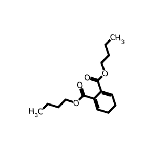 CCCCOC(=O)C1=CCCC=C1C(=O)OCCCC